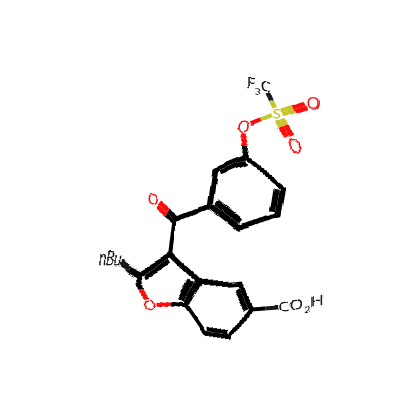 CCCCc1oc2ccc(C(=O)O)cc2c1C(=O)c1cccc(OS(=O)(=O)C(F)(F)F)c1